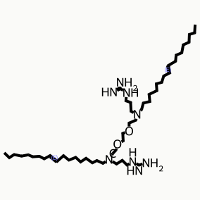 CCCCCCCC/C=C/CCCCCCCCN(CCCNC(=N)N)CCOCCOCCN(CCCCCCCC/C=C/CCCCCCCC)CCCNC(=N)N